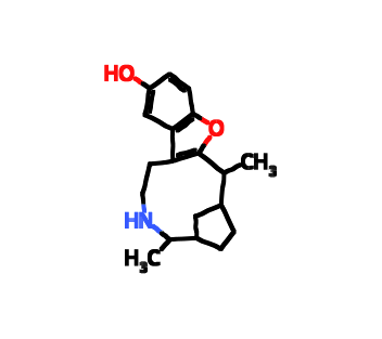 CC1NCCc2c(oc3ccc(O)cc23)C(C)C2CCC1C2